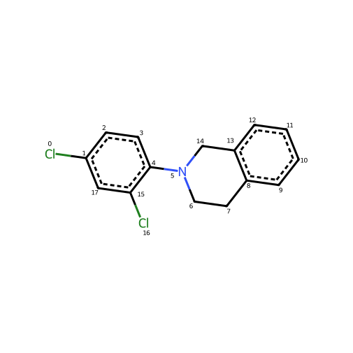 Clc1ccc(N2CCc3ccccc3C2)c(Cl)c1